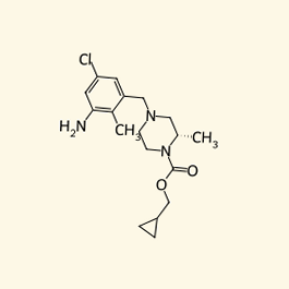 Cc1c(N)cc(Cl)cc1CN1CCN(C(=O)OCC2CC2)[C@@H](C)C1